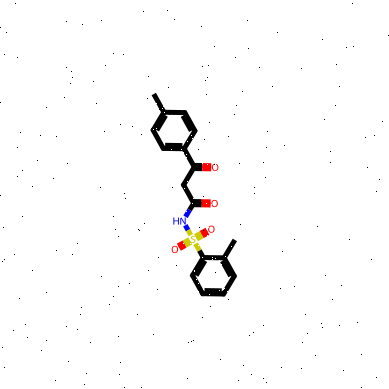 Cc1ccc(C(=O)CC(=O)NS(=O)(=O)c2ccccc2C)cc1